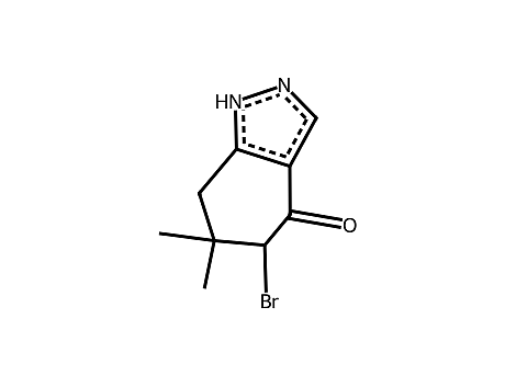 CC1(C)Cc2[nH]ncc2C(=O)C1Br